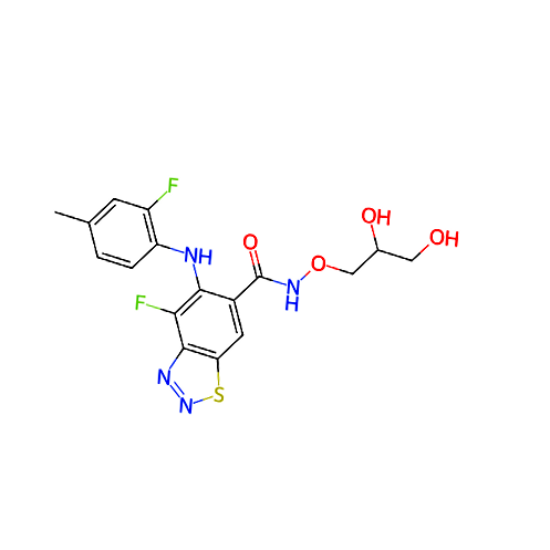 Cc1ccc(Nc2c(C(=O)NOCC(O)CO)cc3snnc3c2F)c(F)c1